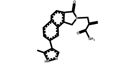 C=C(CN1Cc2c(ccc3ccc(-c4cn[nH]c4C)cc23)C1=O)C(N)=O